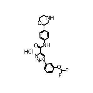 Cl.O=C(Nc1ccc([C@H]2CNCCO2)cc1)c1cn(-c2cccc(OC(F)F)c2)nn1